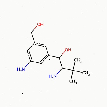 CC(C)(C)C(N)C(O)c1cc(N)cc(CO)c1